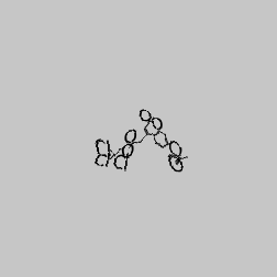 CC(=O)Oc1ccc2c(CC(=O)OCC(Cl)(Cl)Cl)cc(=O)oc2c1